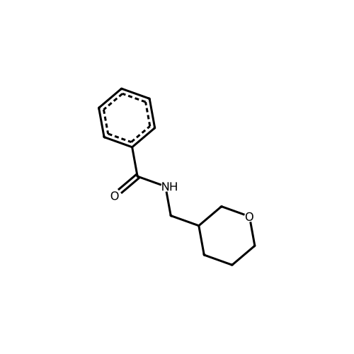 O=C(NCC1CCCOC1)c1ccccc1